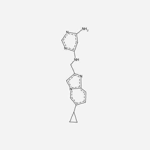 Nc1cc(NCc2cn3cc(C4CC4)ccc3n2)ncn1